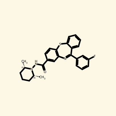 C[C@@H]1CCC[C@H](C)N1NC(=O)c1ccc2c(c1)N=C(c1cccc(F)c1)c1ccccc1S2